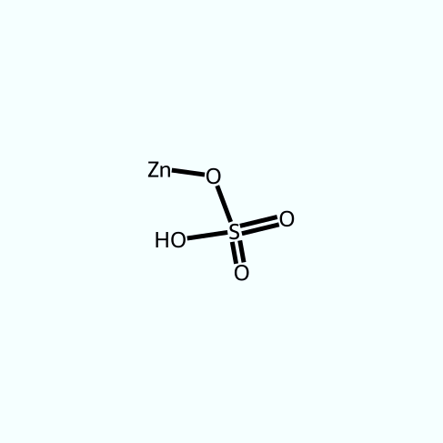 O=S(=O)(O)[O][Zn]